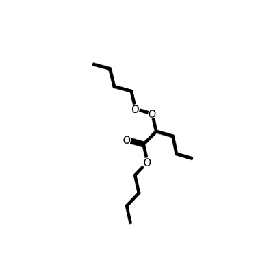 CCCCOOC(CCC)C(=O)OCCCC